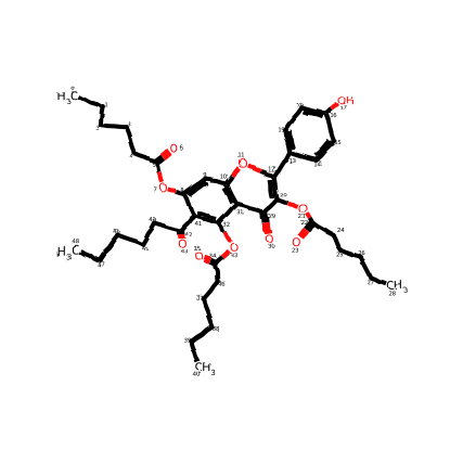 CCCCCC(=O)Oc1cc2oc(-c3ccc(O)cc3)c(OC(=O)CCCCC)c(=O)c2c(OC(=O)CCCCC)c1C(=O)CCCCC